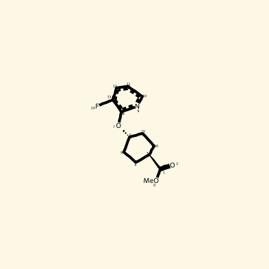 COC(=O)[C@H]1CC[C@H](Oc2ncccc2F)CC1